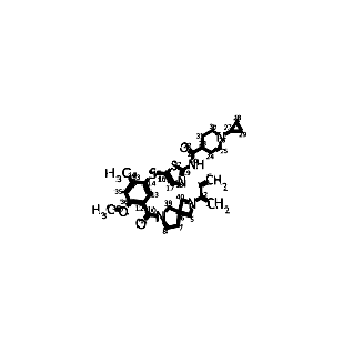 C=CC(=C)N1CC2(CCN(C(=O)c3cc(Sc4cnc(NC(=O)C5CCN(C6CC6)CC5)s4)c(C)cc3OC)C2)C1